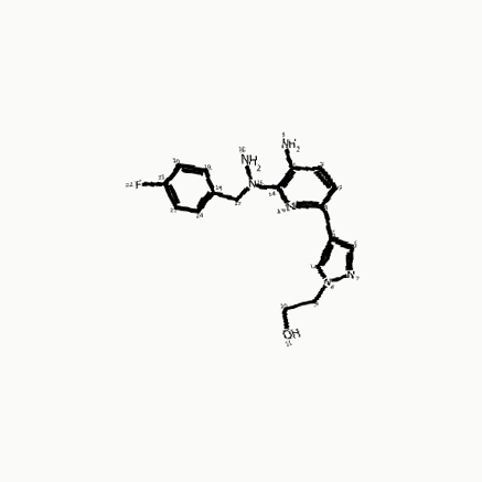 Nc1ccc(-c2cnn(CCO)c2)nc1N(N)Cc1ccc(F)cc1